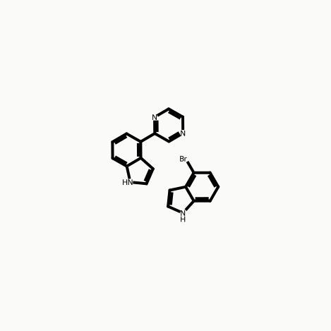 Brc1cccc2[nH]ccc12.c1cc(-c2cnccn2)c2cc[nH]c2c1